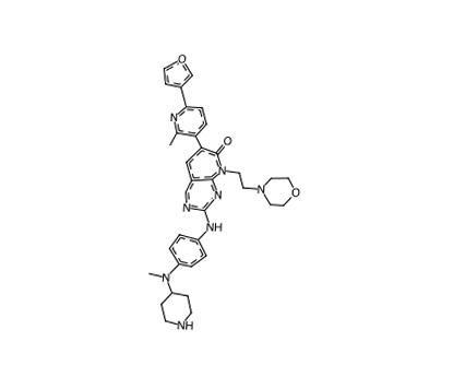 Cc1nc(-c2ccoc2)ccc1-c1cc2cnc(Nc3ccc(N(C)C4CCNCC4)cc3)nc2n(CCN2CCOCC2)c1=O